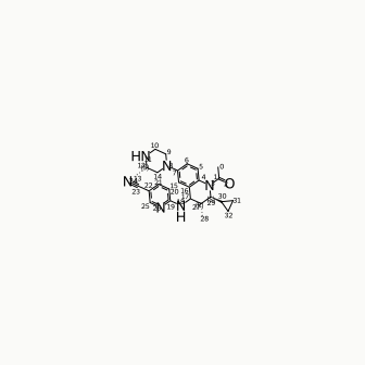 CC(=O)N1c2ccc(N3CCN[C@@H](C)C3)cc2C(Nc2ccc(C#N)cn2)[C@@H](C)[C@@H]1C1CC1